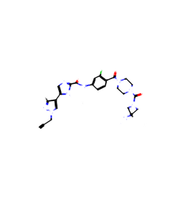 C#CCn1cc(-c2cnc(C(=O)Nc3ccc(C(=O)N4CCN(C(=O)N5CC(C)(N)C5)CC4)c(Cl)c3)n2C)c(C(F)(F)F)n1